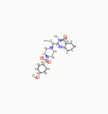 CCC(c1nc2ccccc2c(=O)n1C)N1CCN(S(=O)(=O)c2ccc(OC)cc2)CC1